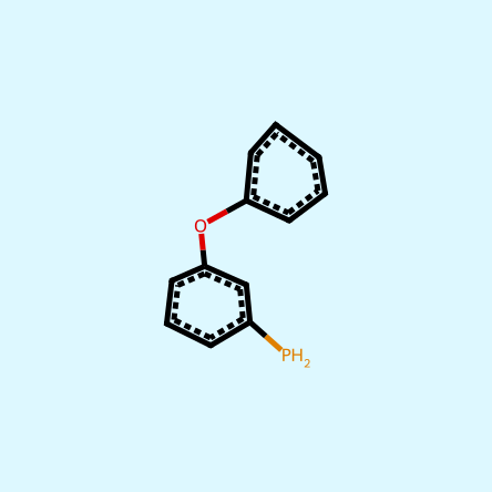 Pc1cccc(Oc2ccccc2)c1